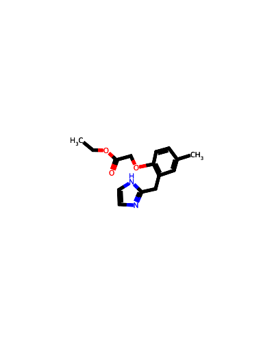 CCOC(=O)COc1ccc(C)cc1Cc1ncc[nH]1